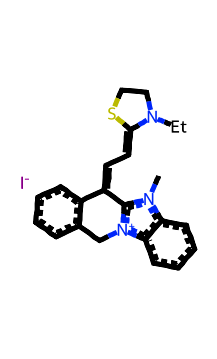 CCN1CCSC1=CC=C1c2ccccc2C[n+]2c1n(C)c1ccccc12.[I-]